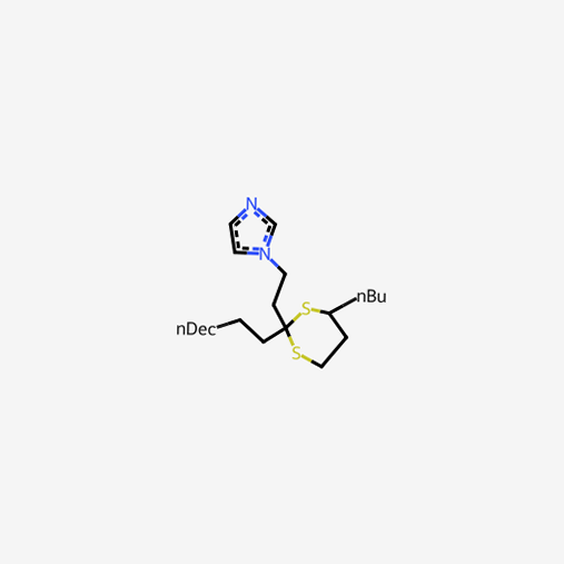 CCCCCCCCCCCCC1(CCn2ccnc2)SCCC(CCCC)S1